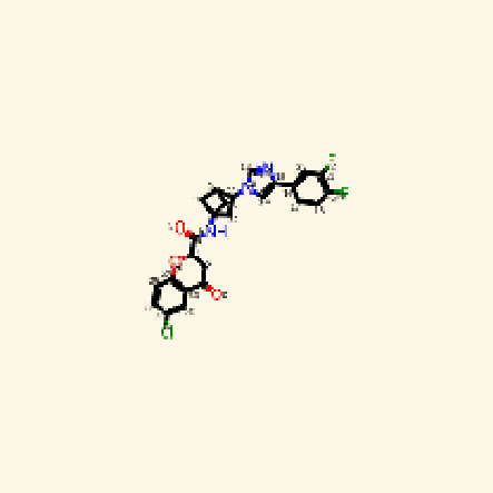 O=C1CC(C(=O)NC23CC(C2)C(n2cnc(-c4ccc(F)c(F)c4)c2)C3)Oc2ccc(Cl)cc21